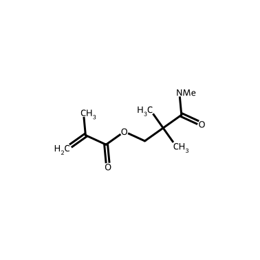 C=C(C)C(=O)OCC(C)(C)C(=O)NC